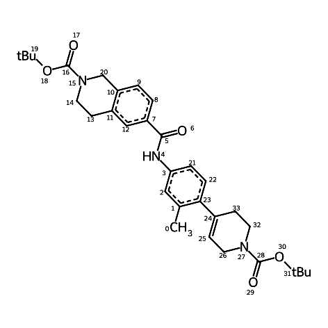 Cc1cc(NC(=O)c2ccc3c(c2)CCN(C(=O)OC(C)(C)C)C3)ccc1C1=CCN(C(=O)OC(C)(C)C)CC1